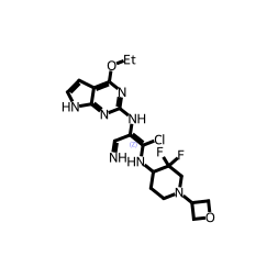 CCOc1nc(N/C(C=N)=C(\Cl)NC2CCN(C3COC3)CC2(F)F)nc2[nH]ccc12